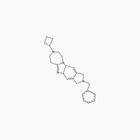 C1=C2CN(Cc3ccccc3)CC2=CC2C1N=C1CCN(C3CCC3)CCN12